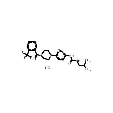 CC(C)CNC(=O)Nc1ccc(N2CCN(C(=O)c3ccccc3C(F)(F)F)CC2)nn1.Cl